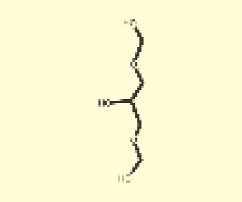 OCOCC(O)COCO